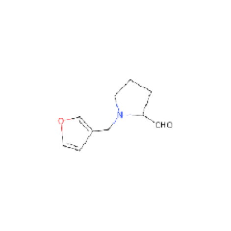 O=CC1CCCN1Cc1ccoc1